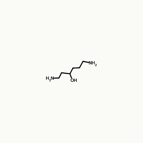 NCCCC(O)CCN